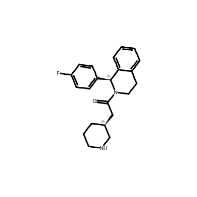 O=C(C[C@@H]1CCCNC1)N1CCc2ccccc2[C@@H]1c1ccc(F)cc1